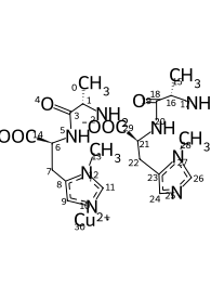 C[C@H](N)C(=O)N[C@@H](Cc1cncn1C)C(=O)[O-].C[C@H](N)C(=O)N[C@@H](Cc1cncn1C)C(=O)[O-].[Cu+2]